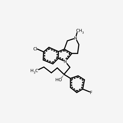 CCCC[C@@](O)(Cn1c2c(c3cc(Cl)ccc31)CN(C)CC2)c1ccc(F)cc1